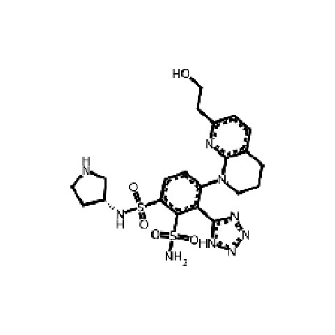 NS(=O)(=O)c1c(S(=O)(=O)N[C@@H]2CCNC2)ccc(N2CCCc3ccc(CCO)nc32)c1-c1nnn[nH]1